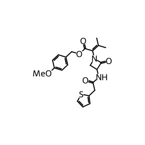 COc1ccc(COC(=O)C(=C(C)C)N2CC(NC(=O)Cc3cccs3)C2=O)cc1